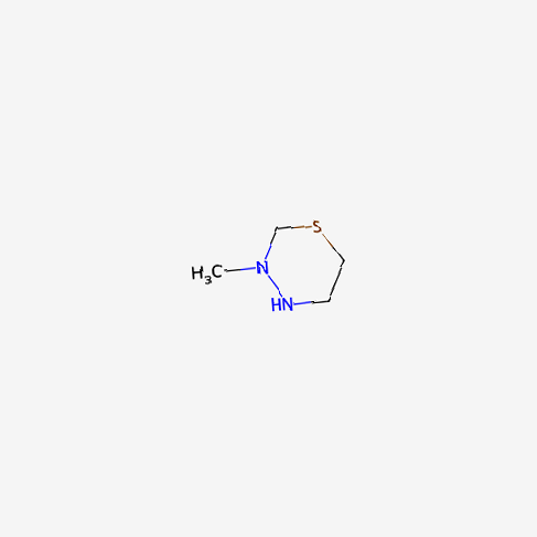 CN1CSCCN1